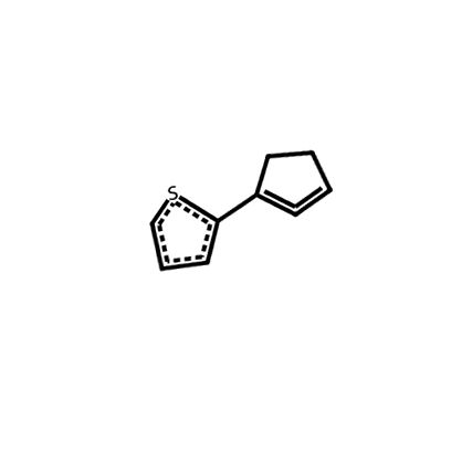 C1=CCCC=1c1cccs1